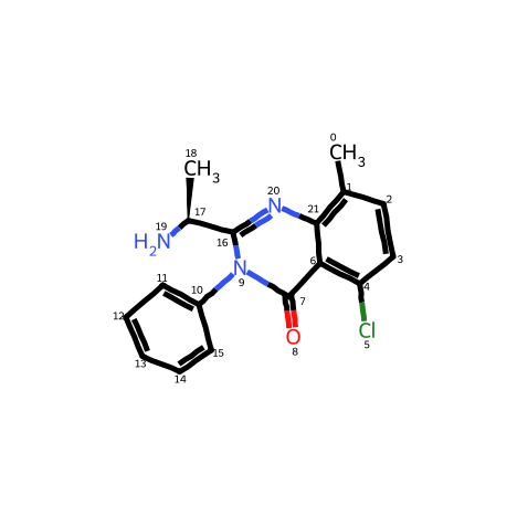 Cc1ccc(Cl)c2c(=O)n(-c3ccccc3)c([C@H](C)N)nc12